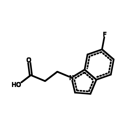 O=C(O)CCn1ccc2ccc(F)cc21